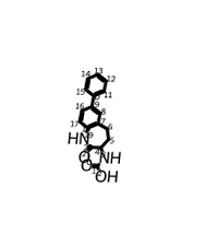 O=C(O)NC1CCc2cc(-c3ccccc3)ccc2NC1=O